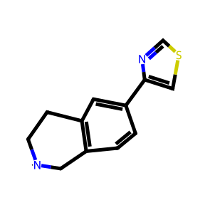 c1nc(-c2ccc3c(c2)CC[N]C3)cs1